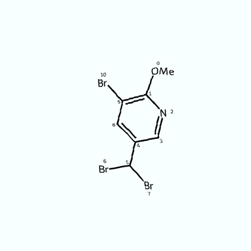 COc1ncc(C(Br)Br)cc1Br